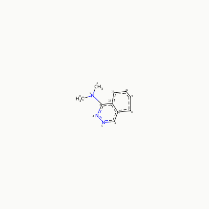 CN(C)c1nncc2ccccc12